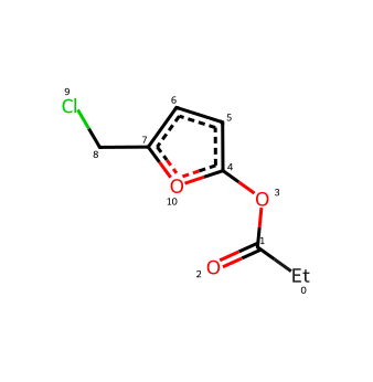 CCC(=O)Oc1ccc(CCl)o1